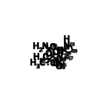 CCC(C)(C)C(C)(OC(N)=O)C(=O)NC(C=O)CC1CCNC1=O